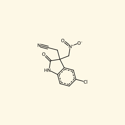 N#CCC1(C[N+](=O)[O-])C(=O)Nc2ccc(Cl)cc21